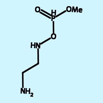 CO[PH](=O)ONCCN